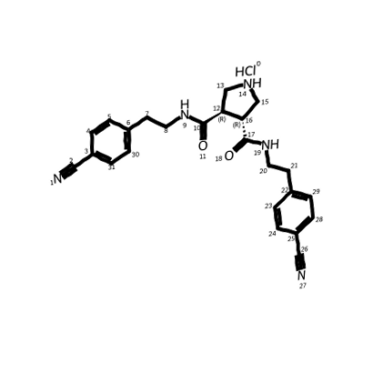 Cl.N#Cc1ccc(CCNC(=O)[C@H]2CNC[C@@H]2C(=O)NCCc2ccc(C#N)cc2)cc1